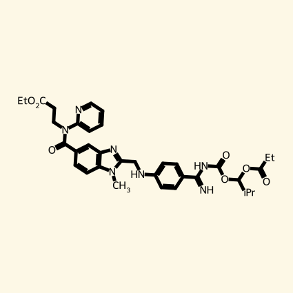 CCOC(=O)CCN(C(=O)c1ccc2c(c1)nc(CNc1ccc(C(=N)NC(=O)OC(OC(=O)CC)C(C)C)cc1)n2C)c1ccccn1